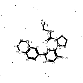 O=C(NCC(F)(F)F)[C@H]1CCCN1c1nc(-c2ccc3c(c2)OCCO3)ncc1F